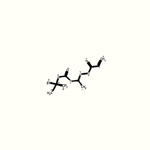 C=CC(=O)OOC(C)OC(=O)OC(C)(C)CC